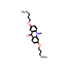 CNCCCOc1ccc2c(c1)c(=O)c1ccc(OCCCNC)cc1n2C